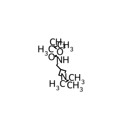 CC(C)(C)OC(=O)NCC1CN(C(C)(C)C)C1